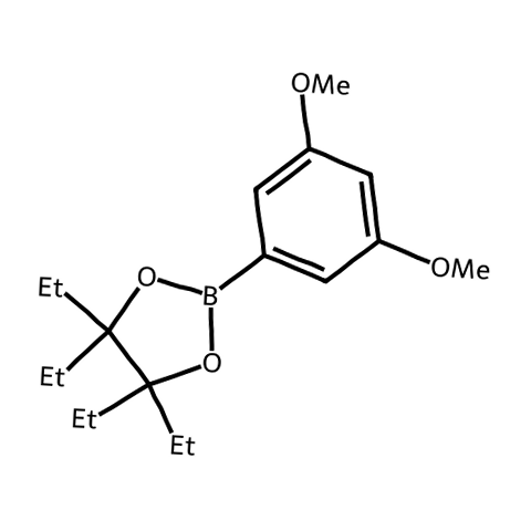 CCC1(CC)OB(c2cc(OC)cc(OC)c2)OC1(CC)CC